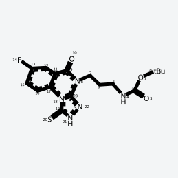 CC(C)(C)OC(=O)NCCCn1c(=O)c2cc(F)ccc2n2c(=S)[nH]nc12